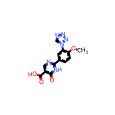 COc1ccc(-c2ncc(C(=O)O)c(=O)[nH]2)cc1-n1cnnn1